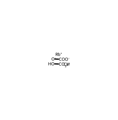 O=C(O)O.O=C([O-])[O-].[Cs+].[Rb+]